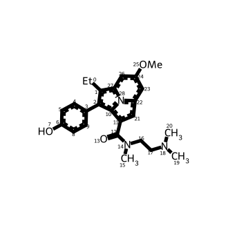 CCc1c(-c2ccc(O)cc2)c2c(C(=O)N(C)CCN(C)C)cc3cc(OC)cc1n32